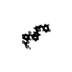 O=C(Oc1cccc(Nc2ncnc3cc(-c4ccc(CN5CCCCC5)o4)sc23)c1)C(F)(F)F